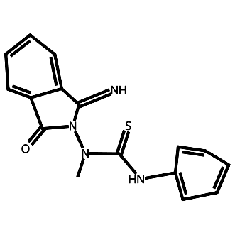 CN(C(=S)Nc1ccccc1)N1C(=N)c2ccccc2C1=O